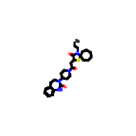 CC(C)(C)CCN1C(=O)C(CC(=O)N2CCC(N3CCc4ccccc4NC3=O)CC2)SC12CCCCCC2